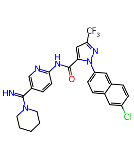 N=C(c1ccc(NC(=O)c2cc(C(F)(F)F)nn2-c2ccc3cc(Cl)ccc3c2)nc1)N1CCCCC1